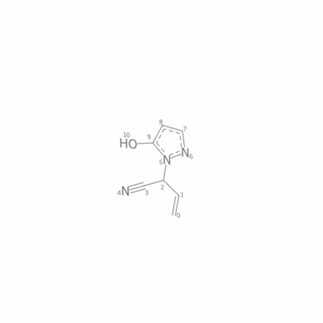 C=CC(C#N)n1nccc1O